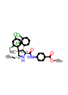 CC(C)(C)C[C@H]1N[C@H](C(=O)Nc2ccc(C(=O)OC(C)(C)C)cc2)[C@@H](c2cccc(Cl)c2F)[C@]1(C#N)c1ccc(Cl)cc1F